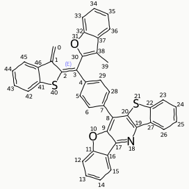 C=c1/c(=C(/c2ccc(-c3c4oc5ccccc5c4nc4c3sc3ccccc34)cc2)c2oc3ccccc3c2C)sc2ccccc12